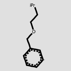 CC(C)CCOCc1c[c]ccc1